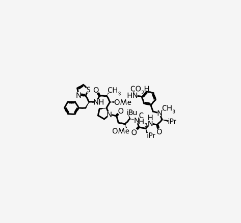 CC[C@H](C)[C@@H]([C@@H](CC(=O)N1CCC[C@H]1[C@H](OC)[C@@H](C)C(=O)N[C@@H](Cc1ccccc1)c1nccs1)OC)N(C)C(=O)[C@@H](NC(=O)[C@H](C(C)C)N(C)Cc1cccc(NC(=O)O)c1)C(C)C